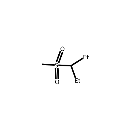 [CH2]CC(CC)S(C)(=O)=O